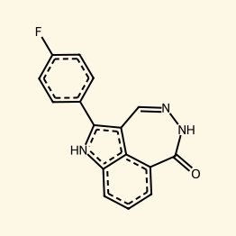 O=C1NN=Cc2c(-c3ccc(F)cc3)[nH]c3cccc1c23